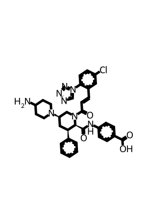 NC1CCN([C@@H]2C[C@H](c3ccccc3)[C@H](C(=O)Nc3ccc(C(=O)O)cc3)N(C(=O)/C=C/c3cc(Cl)ccc3-n3cnnn3)C2)CC1